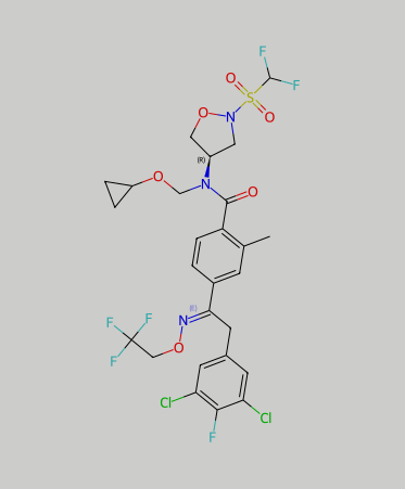 Cc1cc(/C(Cc2cc(Cl)c(F)c(Cl)c2)=N/OCC(F)(F)F)ccc1C(=O)N(COC1CC1)[C@H]1CON(S(=O)(=O)C(F)F)C1